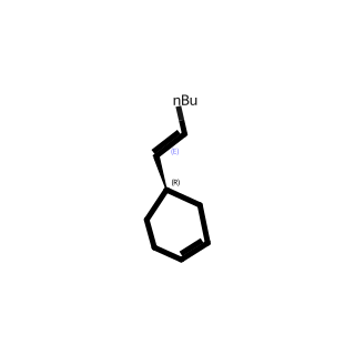 CCCC/C=C/[C@H]1CC=CCC1